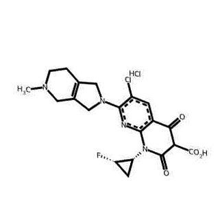 CN1CCC2=C(C1)CN(c1nc3c(cc1Cl)C(=O)C(C(=O)O)C(=O)N3[C@@H]1C[C@@H]1F)C2.Cl